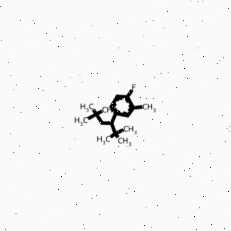 Cc1cc(C(CC(C)(C)C)C(C)(C)C)ccc1F